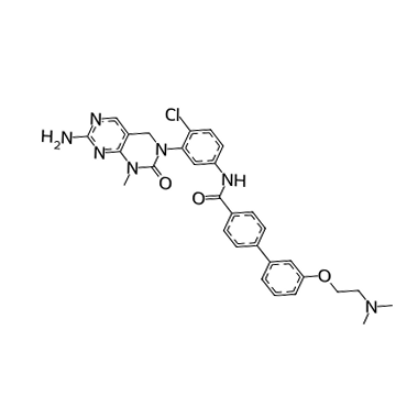 CN(C)CCOc1cccc(-c2ccc(C(=O)Nc3ccc(Cl)c(N4Cc5cnc(N)nc5N(C)C4=O)c3)cc2)c1